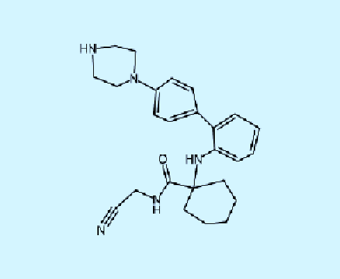 N#CCNC(=O)C1(Nc2ccccc2-c2ccc(N3CCNCC3)cc2)CCCCC1